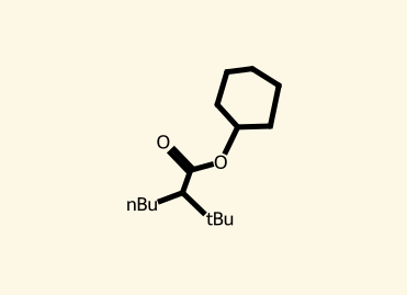 CCCCC(C(=O)OC1CCCCC1)C(C)(C)C